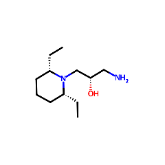 CC[C@@H]1CCC[C@H](CC)N1C[C@@H](O)CN